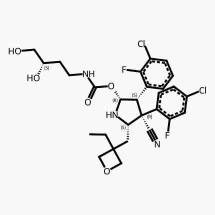 CCC1(C[C@@H]2N[C@H](OC(=O)NCC[C@H](O)CO)[C@H](c3cccc(Cl)c3F)[C@@]2(C#N)c2ccc(Cl)cc2F)COC1